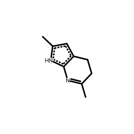 CC1=Nc2[nH]c(C)cc2CC1